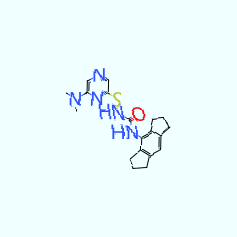 CN(C)c1cncc(SNC(=O)Nc2c3c(cc4c2CCC4)CCC3)n1